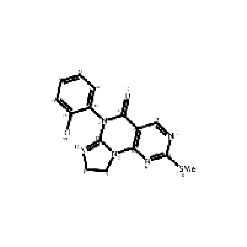 CSc1ncc2c(n1)N1CCN=C1N(c1ccccc1Cl)C2=O